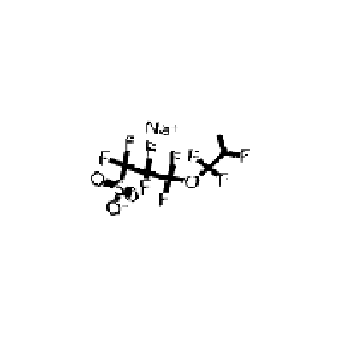 CC(F)C(F)(F)OC(F)(F)C(F)(F)C(F)(F)S(=O)(=O)[O-].[Na+]